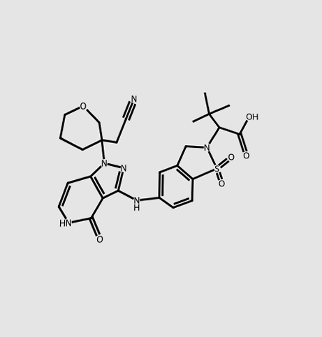 CC(C)(C)C(C(=O)O)N1Cc2cc(Nc3nn(C4(CC#N)CCCOC4)c4cc[nH]c(=O)c34)ccc2S1(=O)=O